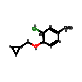 CC(=O)Oc1ccc(OCC2CC2)c(Cl)c1